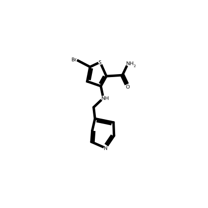 NC(=O)c1sc(Br)cc1NCc1ccncc1